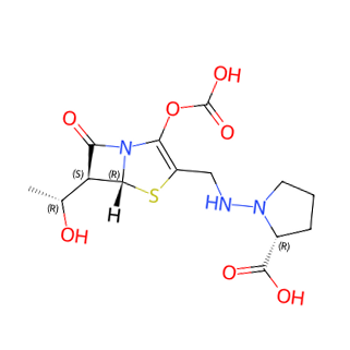 C[C@@H](O)[C@H]1C(=O)N2C(OC(=O)O)=C(CNN3CCC[C@@H]3C(=O)O)S[C@H]12